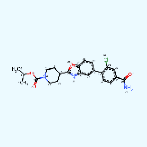 CC(C)OC(=O)N1CCC(c2nc3cc(-c4ccc(C(N)=O)cc4Cl)ccc3o2)CC1